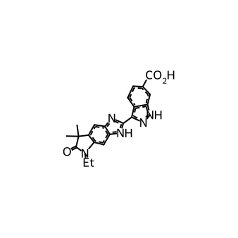 CCN1C(=O)C(C)(C)c2cc3nc(-c4n[nH]c5cc(C(=O)O)ccc45)[nH]c3cc21